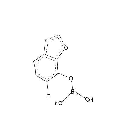 OB(O)Oc1c(F)ccc2ccoc12